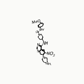 COc1ccc(NC(=O)N2CCC(Nc3ncnc4cc(N5CCNCC5)c([N+](=O)[O-])cc34)CC2)cc1